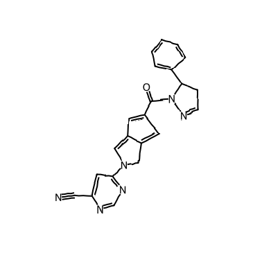 N#Cc1cc(N2C=C3C=C(C(=O)N4N=CCC4c4ccccc4)C=C3C2)ncn1